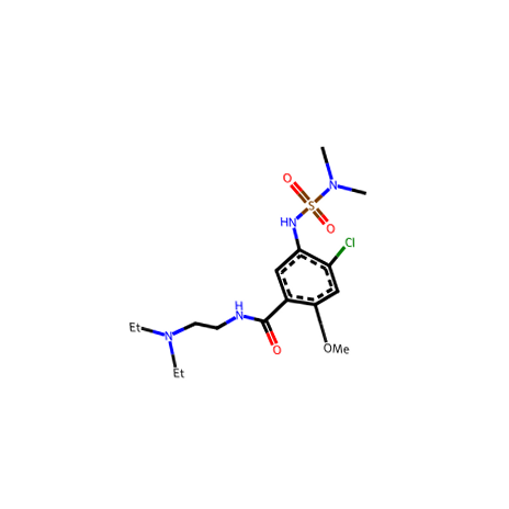 CCN(CC)CCNC(=O)c1cc(NS(=O)(=O)N(C)C)c(Cl)cc1OC